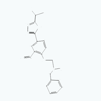 CN(COc1ccc(-c2nnc(C(F)F)o2)cc1C=O)Cc1ccccc1